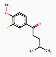 COc1ccc(C(=O)CCC(C)C)cc1F